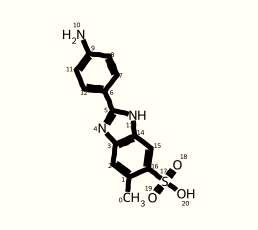 Cc1cc2nc(-c3ccc(N)cc3)[nH]c2cc1S(=O)(=O)O